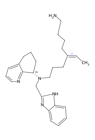 C/C=C(/CCCCN)CCCN(Cc1nc2ccccc2[nH]1)[C@H]1CCCc2cccnc21